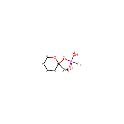 O=P(O)(F)OC1([SiH3])CCCCO1